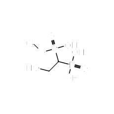 O=P(O)(O)C(CO)P(=O)(O)OCl